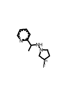 CC(NN1CC[C@@H](F)C1)c1ccccn1